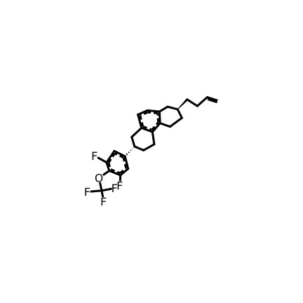 C=CCC[C@H]1CCc2c(ccc3c2CC[C@H](c2cc(F)c(OC(F)(F)F)c(F)c2)C3)C1